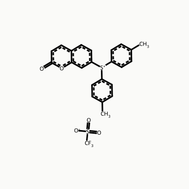 Cc1ccc([S+](c2ccc(C)cc2)c2ccc3ccc(=O)oc3c2)cc1.O=S(=O)([O-])C(F)(F)F